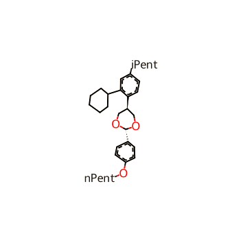 CCCCCOc1ccc([C@H]2OC[C@H](c3ccc(C(C)CCC)cc3C3CCCCC3)CO2)cc1